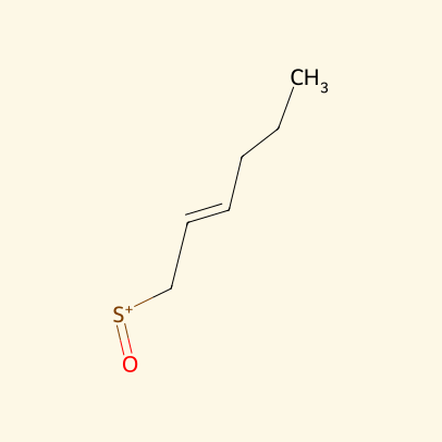 CCCC=CC[S+]=O